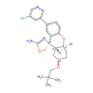 CC(C)(C)CO[C@@H]1CC[C@@H]2Oc3ccc(-c4cncc(Cl)c4)cc3[C@@]3(COC(N)=N3)[C@H]2C1